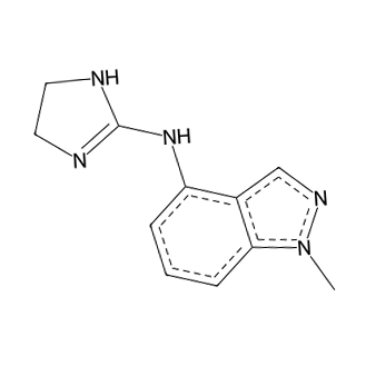 Cn1ncc2c(NC3=NCCN3)cccc21